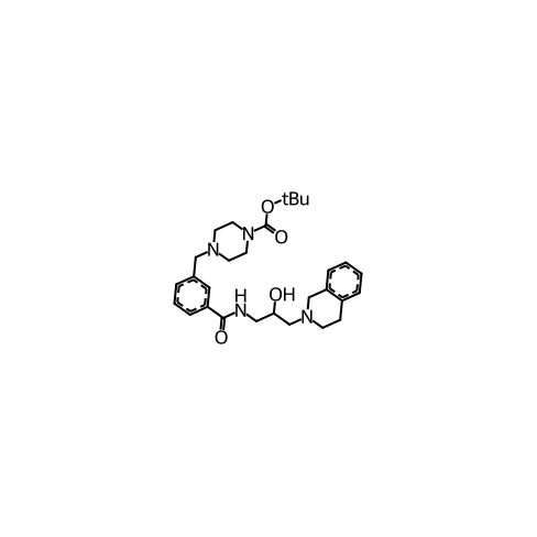 CC(C)(C)OC(=O)N1CCN(Cc2cccc(C(=O)NCC(O)CN3CCc4ccccc4C3)c2)CC1